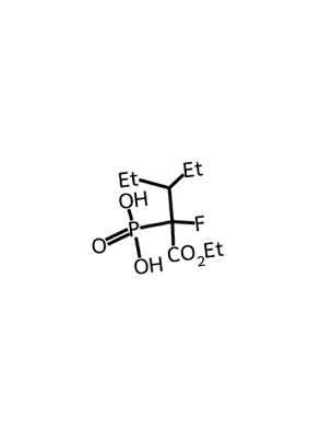 CCOC(=O)C(F)(C(CC)CC)P(=O)(O)O